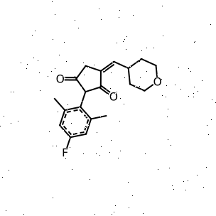 Cc1cc(F)cc(C)c1C1C(=O)CC(=CC2CCOCC2)C1=O